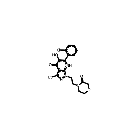 CCc1nn(CCN2CCOCC2=O)c2[nH]c(-c3ccccc3Cl)c(O)c(=O)c12